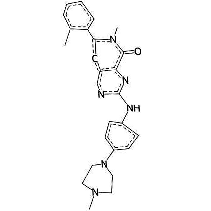 Cc1ccccc1-c1cc2cnc(Nc3ccc(N4CCN(C)CC4)cc3)nc2c(=O)n1C